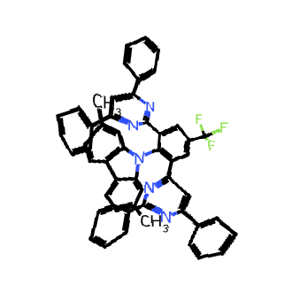 Cc1ccc2c3ccc(C)cc3n(-c3c(-c4cc(-c5ccccc5)nc(-c5ccccc5)n4)cc(C(F)(F)F)cc3-c3nc(-c4ccccc4)cc(-c4ccccc4)n3)c2c1